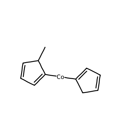 CC1C=CC=[C]1[Co][C]1=CC=CC1